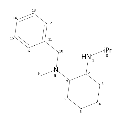 CC(C)NC1CCCCC1N(C)Cc1ccccc1